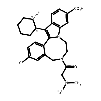 CN(C)CC(=O)N1CCn2c(c([C@H]3CCCC[C@@H]3F)c3ccc(C(=O)O)cc32)-c2ccc(Cl)cc2C1